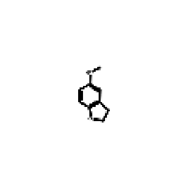 CPc1ccc2c(c1)CCN2